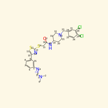 CN(C)/C=N/c1cccc(-c2csc(SCC(=O)NC3CCN(Cc4ccc(Cl)c(Cl)c4)CC3)n2)c1